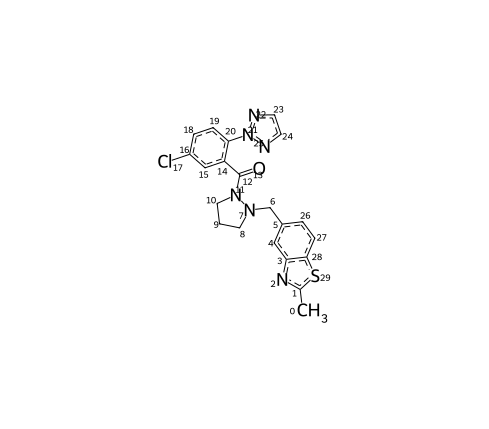 Cc1nc2cc(CN3CCCN3C(=O)c3cc(Cl)ccc3-n3nccn3)ccc2s1